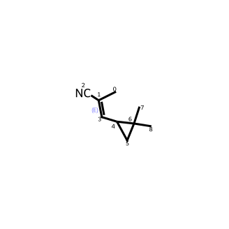 C/C(C#N)=C\C1CC1(C)C